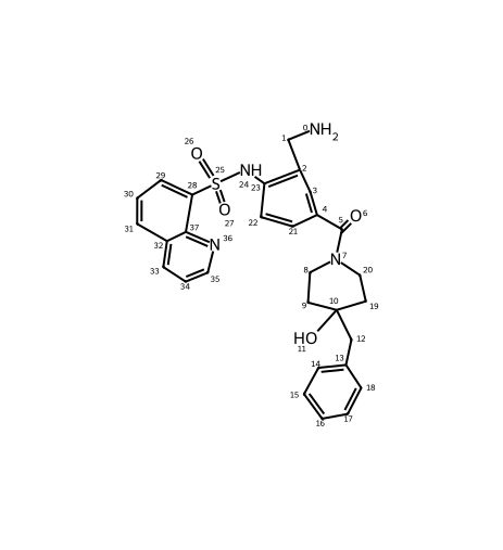 NCc1cc(C(=O)N2CCC(O)(Cc3ccccc3)CC2)ccc1NS(=O)(=O)c1cccc2cccnc12